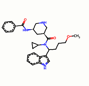 COCCCC(c1c[nH]c2ccccc12)N(C(=O)[C@@H]1CNC[C@H](NC(=O)c2ccccc2)C1)C1CC1